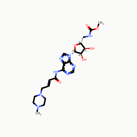 COC(=O)NC[C@H]1O[C@@H](n2cnc3c(NC(=O)/C=C/CN4CCN(C)CC4)ncnc32)[C@H](O)[C@@H]1O